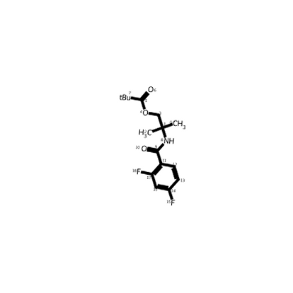 CC(C)(COC(=O)C(C)(C)C)NC(=O)c1ccc(F)cc1F